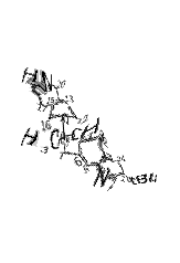 CC(C)(C)c1cnc2cc(CC(C)(C)c3ccc4c(c3)CCNC4)ccc2c1